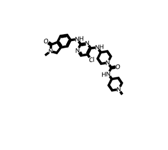 CN1CCC(NC(=O)N2CCC(Nc3nc(Nc4ccc5c(c4)CN(C)C5=O)ncc3Cl)CC2)CC1